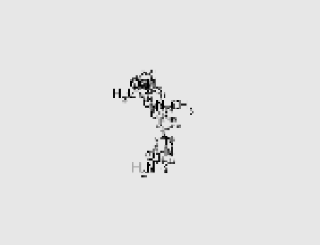 C[C@@H](c1ccc(-c2ccc(C3(C(N)=O)CC3)nn2)cc1)N1CCC(CC(C)(C)O)(c2ccccc2)OC1=O